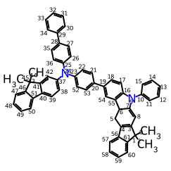 CC1(C)C2=C(CC3C(=C2)N(c2ccccc2)c2ccc(-c4ccc(N(c5ccc(-c6ccccc6)cc5)c5ccc6c(c5)C(C)(C)c5ccccc5-6)cc4)cc23)c2ccccc21